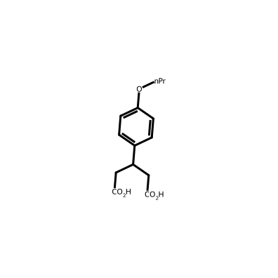 CCCOc1ccc(C(CC(=O)O)CC(=O)O)cc1